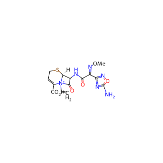 C=C[N+]12C(=O)C(NC(=O)C(=NOC)c3noc(N)n3)[C@@H]1SCC=C2C(=O)O